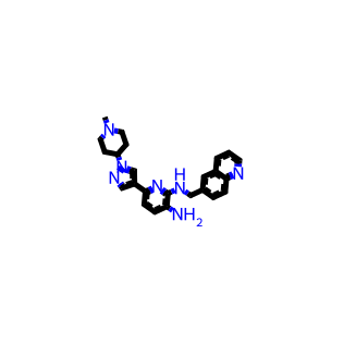 CN1CCC(n2cc(-c3ccc(N)c(NCc4ccc5ncccc5c4)n3)cn2)CC1